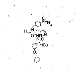 CN(C)c1ccc(CN(C)C(Cc2ccncc2)C(=O)NC(Cc2ccc(OCc3ccccc3)cc2)C(=O)NC(C)(C)C)cc1